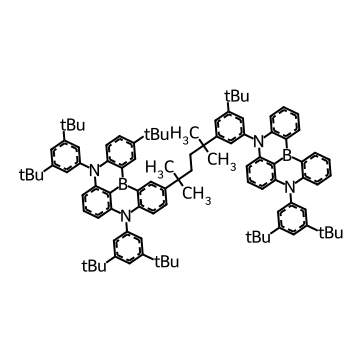 CC(C)(C)c1cc(N2c3ccccc3B3c4ccccc4N(c4cc(C(C)(C)C)cc(C(C)(C)CCC(C)(C)c5ccc6c(c5)B5c7cc(C(C)(C)C)ccc7N(c7cc(C(C)(C)C)cc(C(C)(C)C)c7)c7cccc(c75)N6c5cc(C(C)(C)C)cc(C(C)(C)C)c5)c4)c4cccc2c43)cc(C(C)(C)C)c1